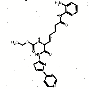 CCOC(=O)NC(CCCCC(=O)Nc1ccccc1N)C(=O)Nc1nc(-c2ccncc2)cs1